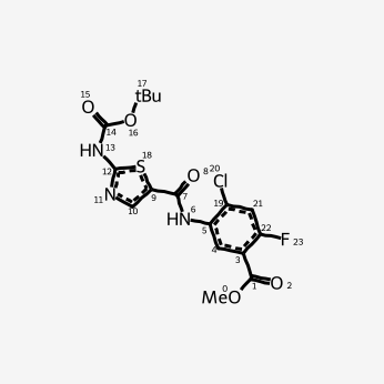 COC(=O)c1cc(NC(=O)c2cnc(NC(=O)OC(C)(C)C)s2)c(Cl)cc1F